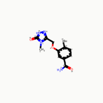 Cn1c(COc2cc(C(N)=O)ccc2C(C)(C)C)n[nH]c1=O